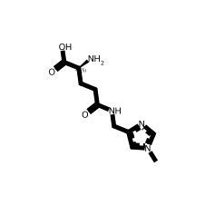 Cn1cnc(CNC(=O)CC[C@H](N)C(=O)O)c1